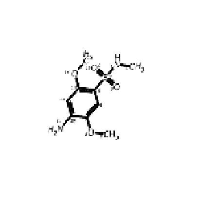 CNS(=O)(=O)c1cc(OC)c(N)cc1OC